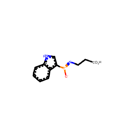 O=C(O)CC/N=[P+](\[O-])c1c[nH]c2ccccc12